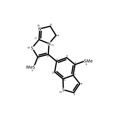 CSC1=C(c2cc(SC)c3ccsc3c2)N2CCN=C2S1